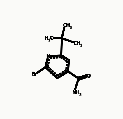 CC(C)(C)c1cc(C(N)=O)cc(Br)n1